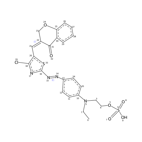 CCN(CCOS(=O)(=O)O)c1ccc(/N=N/c2nc(Cl)c(/C=C3/COc4ccccc4C3=O)s2)cc1